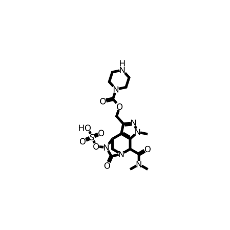 CN(C)C(=O)C1c2c(c(COC(=O)N3CCNCC3)nn2C)C2CN1C(=O)N2OS(=O)(=O)O